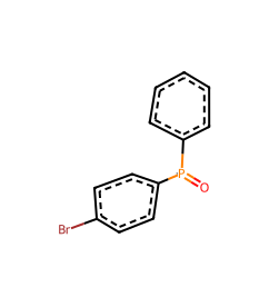 O=[P](c1ccccc1)c1ccc(Br)cc1